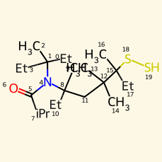 CCC(C)(CC)N(C(=O)C(C)C)C(C)(CC)CC(C)(C)C(C)(CC)SS